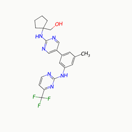 Cc1cc(Nc2nccc(C(F)(F)F)n2)cc(-c2cnc(NC3(CO)CCCC3)nc2)c1